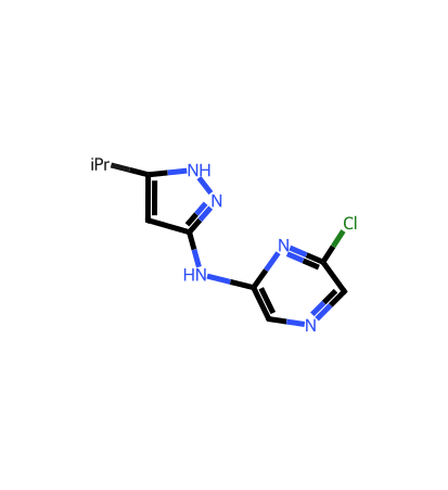 CC(C)c1cc(Nc2cncc(Cl)n2)n[nH]1